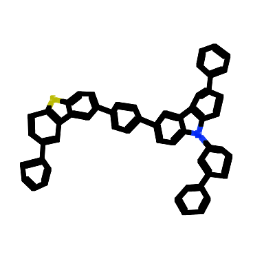 c1ccc(-c2cccc(-n3c4ccc(-c5ccccc5)cc4c4cc(-c5ccc(-c6ccc7sc8ccc(-c9ccccc9)cc8c7c6)cc5)ccc43)c2)cc1